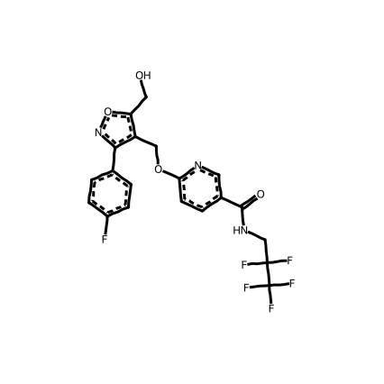 O=C(NCC(F)(F)C(F)(F)F)c1ccc(OCc2c(-c3ccc(F)cc3)noc2CO)nc1